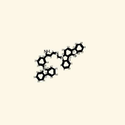 N/C(=C\C=N/Cn1c2ccccc2c2c3sc4ccccc4c3ccc21)c1cccc(-n2c3ccccc3c3ccccc32)c1